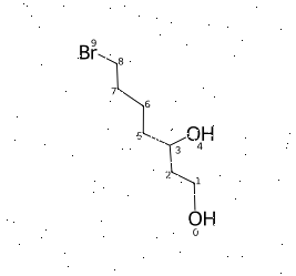 OCCC(O)CCCCBr